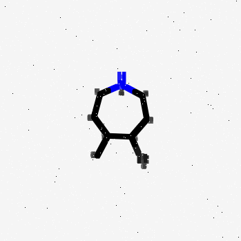 CCC1CCNCCC1C